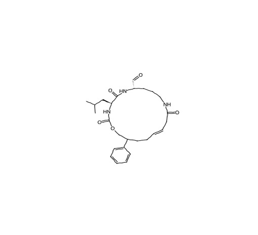 CC(C)C[C@@H]1NC(=O)OCC(c2ccccc2)CC/C=C/CC(=O)NCCC[C@@H](C=O)NC1=O